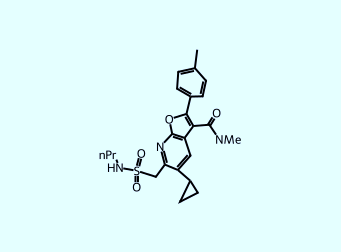 [CH2]CCNS(=O)(=O)Cc1nc2oc(-c3ccc(C)cc3)c(C(=O)NC)c2cc1C1CC1